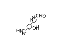 O=Cc1ccc(-c2ccc(-c3cn[nH]c3)cc2O)nn1